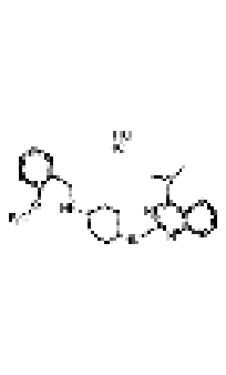 CN(C)c1nc(N[C@H]2CC[C@@H](NCc3ccccc3OC(F)(F)F)CC2)nc2ccccc12.Cl.Cl